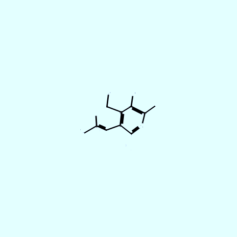 Cc1ncc(/C=C(\F)Cl)c(CS)c1O.Cl